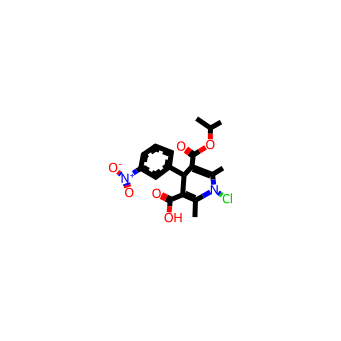 CC1=C(C(=O)O)C(c2cccc([N+](=O)[O-])c2)C(C(=O)OC(C)C)=C(C)N1Cl